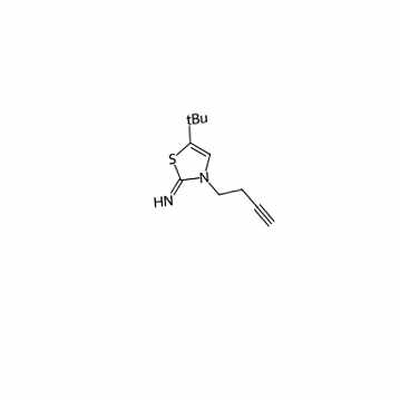 C#CCCn1cc(C(C)(C)C)sc1=N